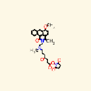 C=c1c2ccc(OC)c3cc4ccccc4c(c(=O)n1CCN(C)CCCC(=O)CCC(=O)ON1C(=O)CCC1=O)c32